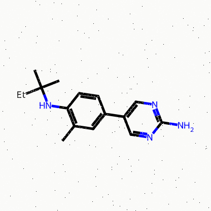 CCC(C)(C)Nc1ccc(-c2cnc(N)nc2)cc1C